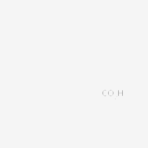 O=C(O)C(c1cccc2ccccc12)C1CCCCC1